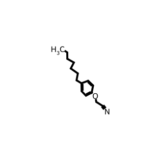 CCCCCCCc1ccc(OCC#N)cc1